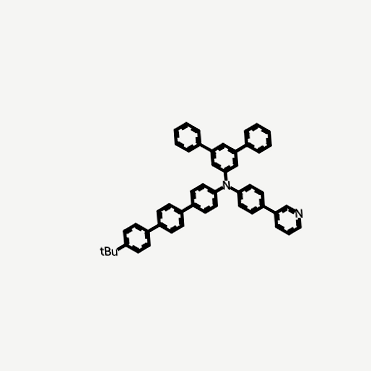 CC(C)(C)c1ccc(-c2ccc(-c3ccc(N(c4ccc(-c5cccnc5)cc4)c4cc(-c5ccccc5)cc(-c5ccccc5)c4)cc3)cc2)cc1